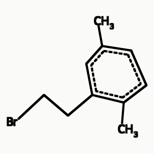 Cc1ccc(C)c(CCBr)c1